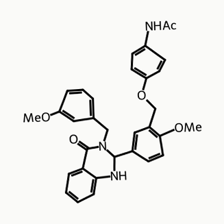 COc1cccc(CN2C(=O)c3ccccc3NC2c2ccc(OC)c(COc3ccc(NC(C)=O)cc3)c2)c1